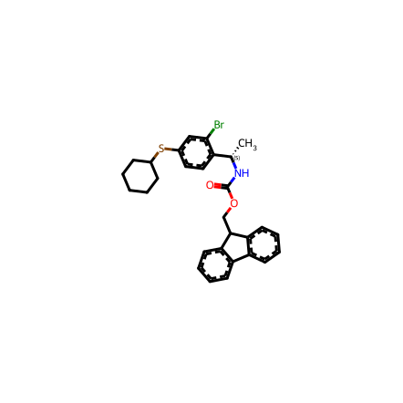 C[C@H](NC(=O)OCC1c2ccccc2-c2ccccc21)c1ccc(SC2CCCCC2)cc1Br